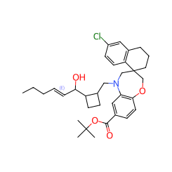 CCC/C=C/C(O)C1CCC1CN1CC2(CCCc3cc(Cl)ccc32)COc2ccc(C(=O)OC(C)(C)C)cc21